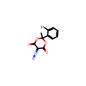 CCc1ccccc1C1(C)OC(=O)C(=[N+]=[N-])C(=O)O1